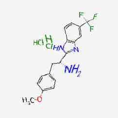 COc1ccc(C[C@@H](N)c2nc3cc(C(F)(F)F)ccc3[nH]2)cc1.Cl.Cl